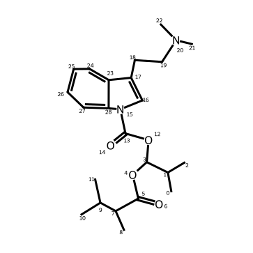 CC(C)C(OC(=O)C(C)C(C)C)OC(=O)n1cc(CCN(C)C)c2ccccc21